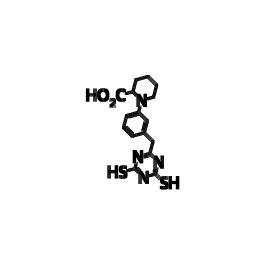 O=C(O)C1CCCCN1c1cccc(Cc2nc(S)nc(S)n2)c1